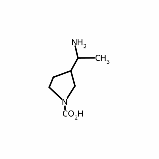 CC(N)C1CCN(C(=O)O)C1